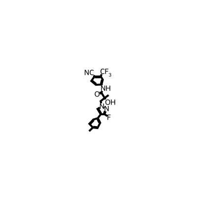 Cc1ccc(-c2cn(CC(C)(O)C(=O)Nc3ccc(C#N)c(C(F)(F)F)c3)nc2F)cc1